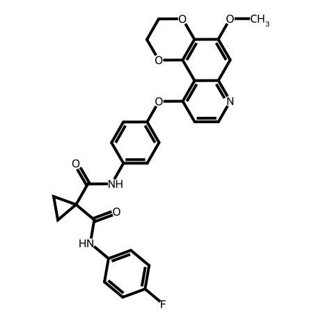 COc1cc2nccc(Oc3ccc(NC(=O)C4(C(=O)Nc5ccc(F)cc5)CC4)cc3)c2c2c1OCCO2